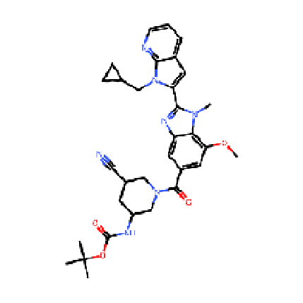 COc1cc(C(=O)N2CC(C#N)CC(NC(=O)OC(C)(C)C)C2)cc2nc(-c3cc4cccnc4n3CC3CC3)n(C)c12